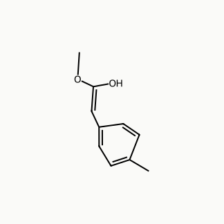 CO/C(O)=C/c1ccc(C)cc1